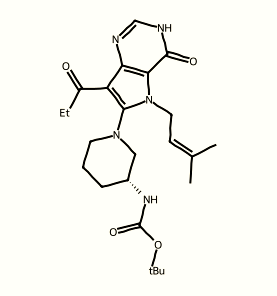 CCC(=O)c1c(N2CCC[C@@H](NC(=O)OC(C)(C)C)C2)n(CC=C(C)C)c2c(=O)[nH]cnc12